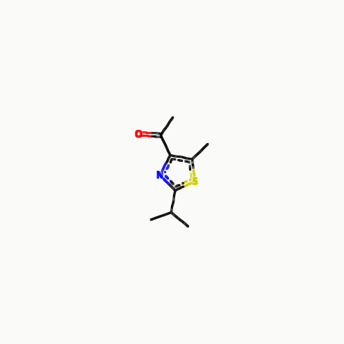 CC(=O)c1nc(C(C)C)sc1C